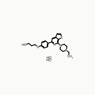 CCN1CCN(c2nc(-c3ccc(OCCCO)cc3)cc3ccsc23)CC1.Cl.Cl